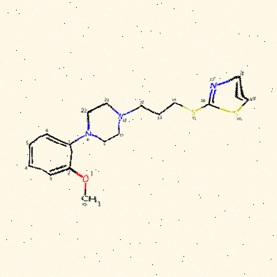 COc1ccccc1N1CCN(CCCSc2nccs2)CC1